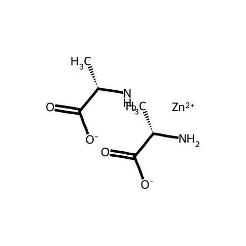 C[C@H](N)C(=O)[O-].C[C@H](N)C(=O)[O-].[Zn+2]